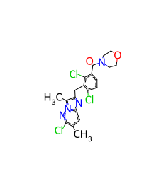 Cc1cc2nc(Cc3c(Cl)ccc(C(=O)N4CCOCC4)c3Cl)c(C)n2nc1Cl